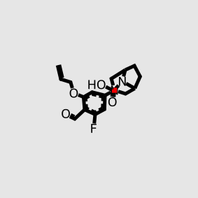 C=CCOc1cc(N2CC3CCC(C2)N3C(=O)O)cc(F)c1C=O